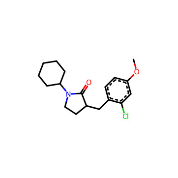 COc1ccc(CC2CCN(C3CCCCC3)C2=O)c(Cl)c1